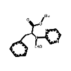 CC(C)(C)OC(=O)[C@H](Cc1ccccc1)N(C=O)c1cnccn1